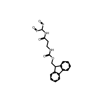 O=PC(NC(=O)CCNC(=O)OCC1c2ccccc2-c2ccccc21)P=O